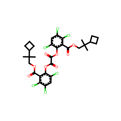 CC(C)(COC(=O)c1c(Cl)c(Cl)cc(Cl)c1OC(=O)C(=O)Oc1c(Cl)cc(Cl)c(Cl)c1C(=O)OCC(C)(C)C1CCC1)C1CCC1